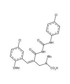 COc1ccc(Cl)cc1C=C(CN(C(=O)O)C(C)(C)C)C(=O)NC(=O)Nc1ccc(Cl)cc1